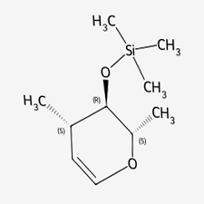 C[C@@H]1OC=C[C@H](C)[C@H]1O[Si](C)(C)C